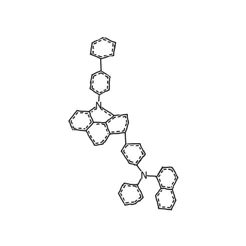 c1ccc(-c2ccc(-n3c4cccc5ccc6c(-c7ccc(N(c8ccccc8)c8cccc9ccccc89)cc7)ccc3c6c54)cc2)cc1